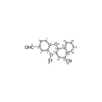 CCOc1cc(C=O)ccc1Oc1ccc(C#N)c2ccccc12